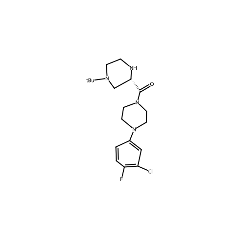 CC(C)(C)N1CCN[C@H](C(=O)N2CCN(c3ccc(F)c(Cl)c3)CC2)C1